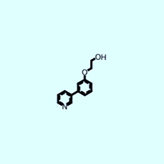 OCCOc1cccc(-c2cccnc2)c1